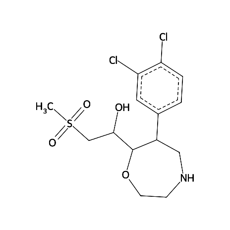 CS(=O)(=O)CC(O)C1OCCNCC1c1ccc(Cl)c(Cl)c1